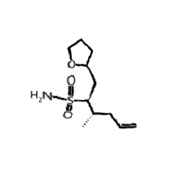 C=CC[C@H](C)[C@H](CC1CCCO1)S(N)(=O)=O